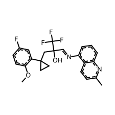 COc1ccc(F)cc1C1(CC(O)(C=Nc2cccc3nc(C)ccc23)C(F)(F)F)CC1